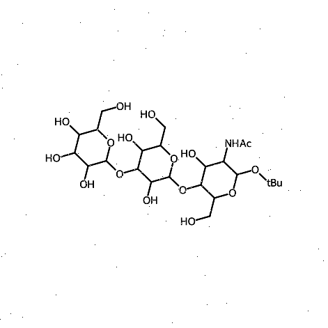 CC(=O)NC1C(OC(C)(C)C)OC(CO)C(OC2OC(CO)C(O)C(OC3OC(CO)C(O)C(O)C3O)C2O)C1O